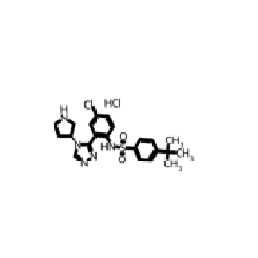 CC(C)(C)c1ccc(S(=O)(=O)Nc2ccc(Cl)cc2-c2nncn2[C@H]2CCNC2)cc1.Cl